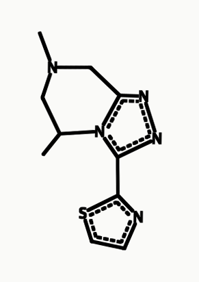 CC1CN(C)Cc2nnc(-c3nccs3)n21